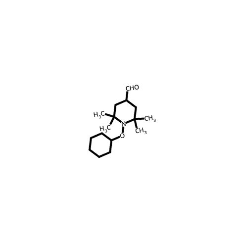 CC1(C)CC(C=O)CC(C)(C)N1OC1CCCCC1